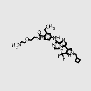 CCc1cc(Nc2nccn3c(-c4cn(CC5CCC5)nc4C(F)(F)F)cnc23)ccc1C(=O)NCCOCCN